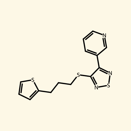 c1cncc(-c2nsnc2SCCCc2cccs2)c1